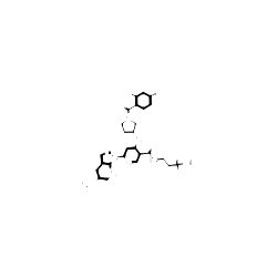 CC(C)(O)[C@H](F)CNC(=O)c1cnc(-n2ncc3cc(C#N)cnc32)cc1N[C@@H]1CCN(C(=O)c2ccc(F)cc2F)C1